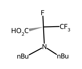 CCCCN(CCCC)[C@](F)(C(=O)O)C(F)(F)F